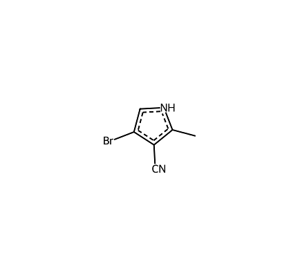 Cc1[nH]cc(Br)c1C#N